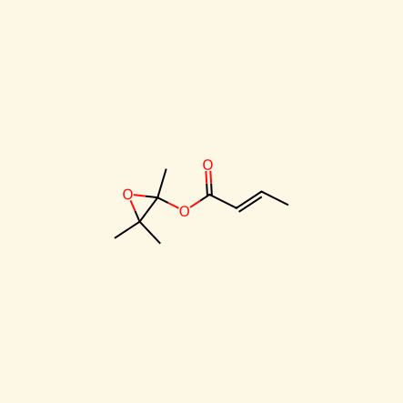 CC=CC(=O)OC1(C)OC1(C)C